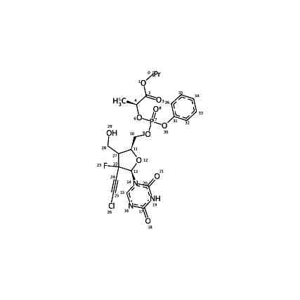 CC(C)OC(=O)[C@H](C)OP(=O)(OC[C@H]1O[C@@H](n2cnc(=O)[nH]c2=O)C(F)(C#CCl)C1CO)Oc1ccccc1